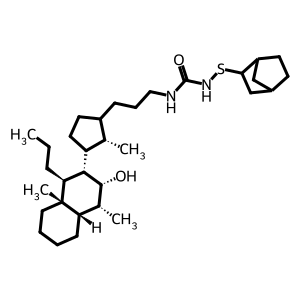 CCC[C@H]1[C@H](C2CCC(CCCNC(=O)NSC3CC4CCC3C4)[C@@H]2C)[C@H](O)[C@H](C)[C@@H]2CCCC[C@@]21C